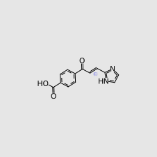 O=C(O)c1ccc(C(=O)/C=C/c2ncc[nH]2)cc1